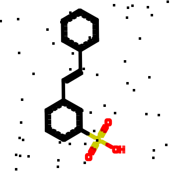 O=S(=O)(O)c1cccc(C=Cc2ccccc2)c1